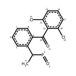 CC(P=O)c1ccccc1C(=O)c1c(Cl)cccc1Cl